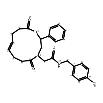 O=C(CN1CC(c2ccccc2)OC(=O)CC/C=C/CCC1=O)NCc1ccc(Cl)cc1